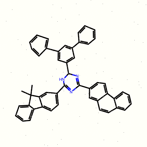 CC1(C)c2ccccc2-c2ccc(C3=NC(c4ccc5c(ccc6ccccc65)c4)=NC(c4cc(-c5ccccc5)cc(-c5ccccc5)c4)N3)cc21